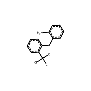 Nc1ccccc1Cc1ccccc1C(Cl)(Cl)Cl